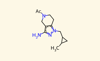 CC(=O)N1CCc2c(c(N)nn2CC2CC2C)C1